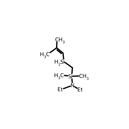 CCN(CC)[Si](C)(C)C[SiH2]C=C(C)C